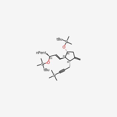 C=C1C[C@@H](O[Si](C)(C)C(C)(C)C)[C@H](C=C[C@H](CCCCC)O[Si](C)(C)C(C)(C)C)[C@H]1CC#C[Si](C)(C)C